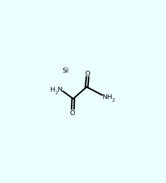 NC(=O)C(N)=O.[Si]